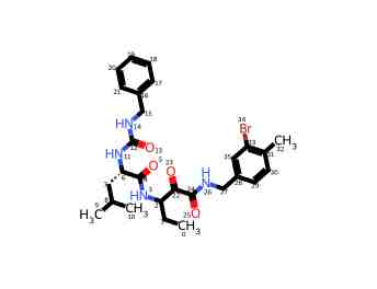 CCC(NC(=O)[C@H](CC(C)C)NC(=O)NCc1ccccc1)C(=O)C(=O)NCc1ccc(C)c(Br)c1